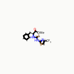 COC(=O)[C@H](Cc1ccccc1)NC(=S)Nc1nc(C(F)(F)F)cs1